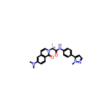 C[C@H](C(=O)Nc1ccc(-c2ccnn2C)cc1)n1ccc2cc(N(C)C)ccc2c1=O